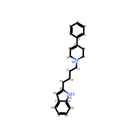 C1=C(c2ccccc2)CCN(CCCCc2cc3ccccc3[nH]2)C1